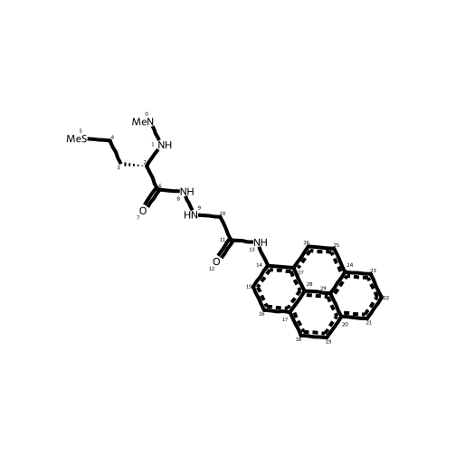 CNN[C@@H](CCSC)C(=O)NNCC(=O)Nc1ccc2ccc3cccc4ccc1c2c34